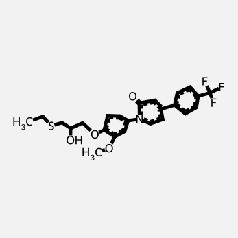 CCSCC(O)COc1ccc(-n2ccc(-c3ccc(C(F)(F)F)cc3)cc2=O)cc1OC